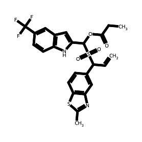 C=CC(c1ccc2sc(C)nc2c1)S(=O)(=O)C(OC(=O)CC)c1cc2cc(C(F)(F)F)ccc2[nH]1